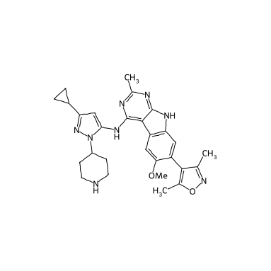 COc1cc2c(cc1-c1c(C)noc1C)[nH]c1nc(C)nc(Nc3cc(C4CC4)nn3C3CCNCC3)c12